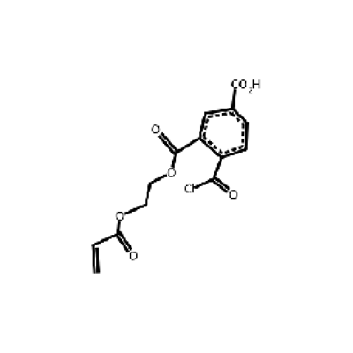 C=CC(=O)OCCOC(=O)c1cc(C(=O)O)ccc1C(=O)Cl